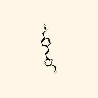 O=[S+]Cc1ccc(C=Cc2nc(CCl)co2)cc1